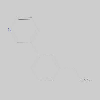 COCc1cccc(-c2cccnc2)c1